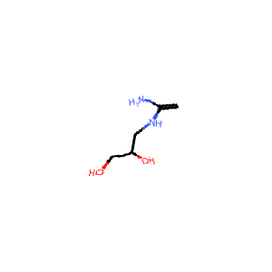 C=C(N)NCC(O)CO